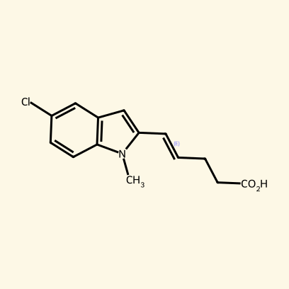 Cn1c(/C=C/CCC(=O)O)cc2cc(Cl)ccc21